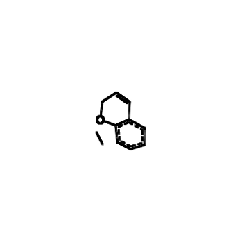 C1=Cc2ccccc2OC1.CC